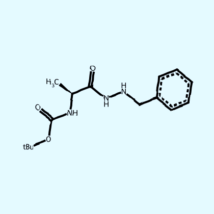 C[C@H](NC(=O)OC(C)(C)C)C(=O)NNCc1ccccc1